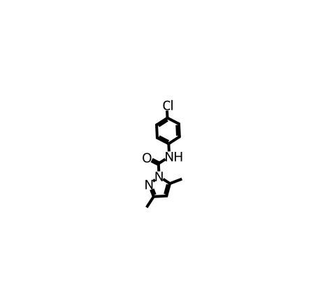 Cc1cc(C)n(C(=O)Nc2ccc(Cl)cc2)n1